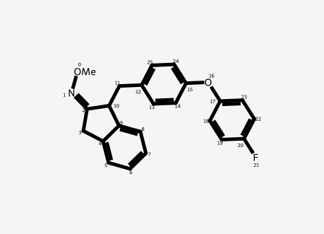 CON=C1Cc2ccccc2C1Cc1ccc(Oc2ccc(F)cc2)cc1